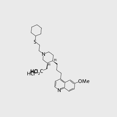 COc1ccc2nccc(CCC[C@@H]3CCN(CCSC4CCCCC4)C[C@@H]3CC(=O)O)c2c1.Cl.Cl